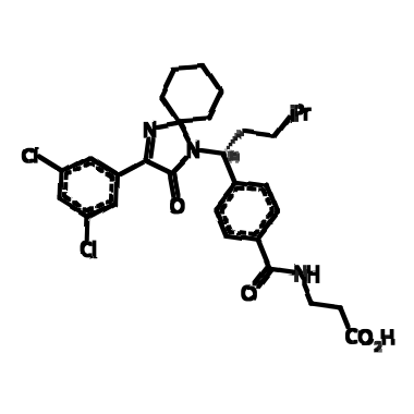 CC(C)CC[C@H](c1ccc(C(=O)NCCC(=O)O)cc1)N1C(=O)C(c2cc(Cl)cc(Cl)c2)=NC12CCCCC2